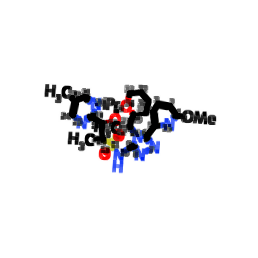 COc1cccc(-c2nnc(NS(=O)(=O)[C@@H](C)[C@@H](OC(C)C)c3ncc(C)cn3)n2[C@H](C)[C@@H]2CCCCO2)n1